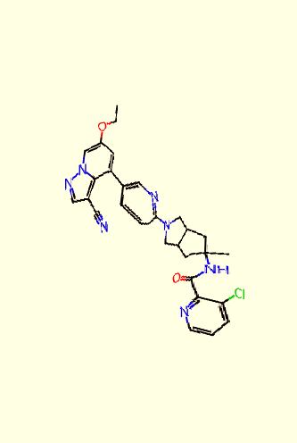 CCOc1cc(-c2ccc(N3CC4CC(C)(NC(=O)c5ncccc5Cl)CC4C3)nc2)c2c(C#N)cnn2c1